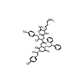 NCCCCC(NC(=O)CN(C(=O)CC1C(=O)N(C(Cl)Cc2ccc(Cl)cc2)CC(=O)N1CCC(c1ccccc1)c1ccccc1)C(Cl)Cc1ccc(Cl)cc1)C(N)=O